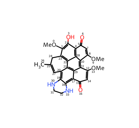 COc1c(O)c2c(=O)cc(OC)c3c4c(OC)cc(=O)c5c6c(c7c(c(c1CC(C)=C7)c23)c54)NCCN6